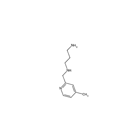 Cc1ccnc(CNCCCN)c1